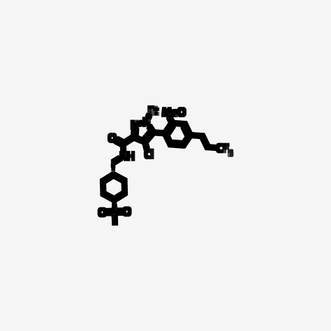 CCn1nc(C(=O)NC[C@H]2CC[C@H](S(C)(=O)=O)CC2)c(Cl)c1-c1ccc(CCC(F)(F)F)cc1OC